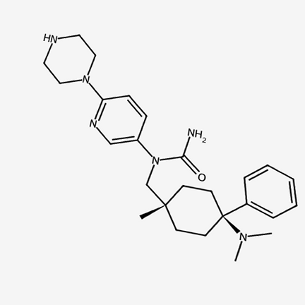 CN(C)[C@]1(c2ccccc2)CC[C@@](C)(CN(C(N)=O)c2ccc(N3CCNCC3)nc2)CC1